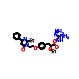 CCOC(Cc1ccc(OCCn2c(CC)nc(-c3ccccc3)cc2=O)cc1)C(=O)ONC(N)=NN